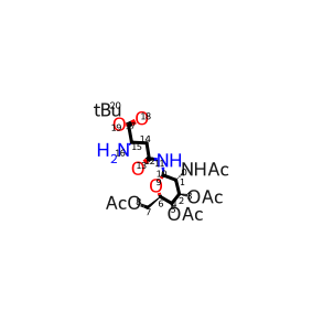 CC(=O)N[C@@H]1[C@@H](OC(C)=O)[C@H](OC(C)=O)[C@@H](COC(C)=O)O[C@H]1NC(=O)C[C@H](N)C(=O)OC(C)(C)C